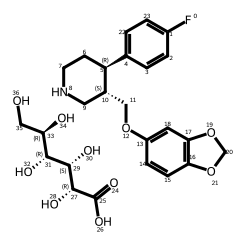 Fc1ccc([C@@H]2CCNC[C@H]2COc2ccc3c(c2)OCO3)cc1.O=C(O)[C@H](O)[C@@H](O)[C@H](O)[C@H](O)CO